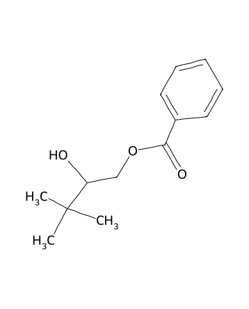 CC(C)(C)C(O)COC(=O)c1ccccc1